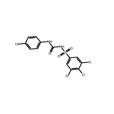 O=C(Nc1ccc(Cl)cc1)NS(=O)(=O)c1cc(Cl)c(Cl)c(Cl)c1